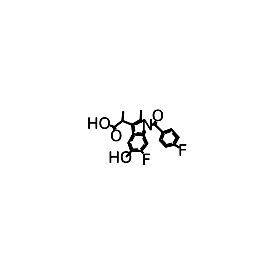 Cc1c(C(C)C(=O)O)c2cc(O)c(F)cc2n1C(=O)c1ccc(F)cc1